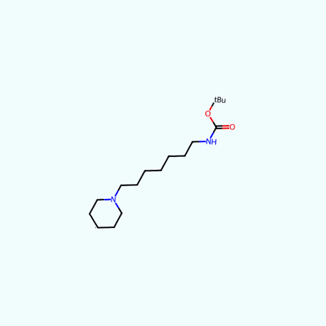 CC(C)(C)OC(=O)NCCCCCCCN1CC[CH]CC1